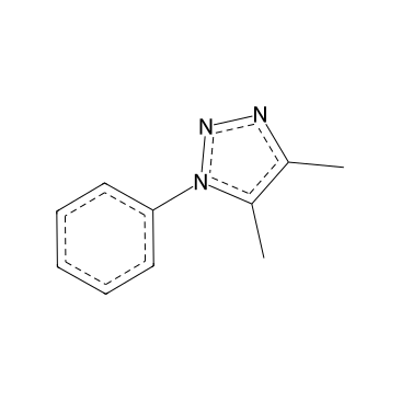 Cc1nnn(-c2ccccc2)c1C